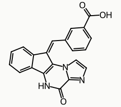 O=C(O)c1cccc(/C=c2/c3ccccc3c3[nH]c(=O)c4nccn4c23)c1